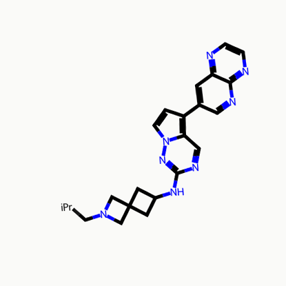 CC(C)CN1CC2(CC(Nc3ncc4c(-c5cnc6nccnc6c5)ccn4n3)C2)C1